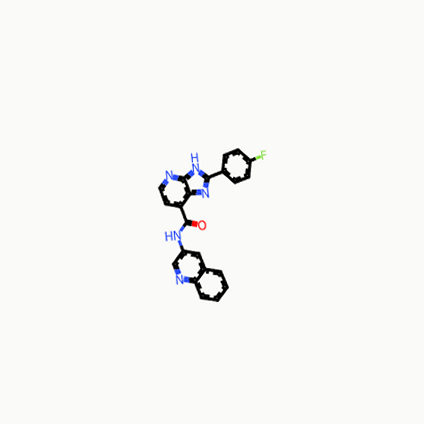 O=C(Nc1cnc2ccccc2c1)c1ccnc2[nH]c(-c3ccc(F)cc3)nc12